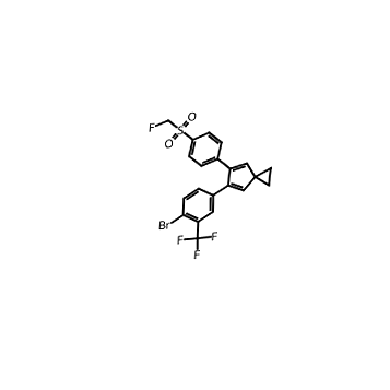 O=S(=O)(CF)c1ccc(C2=CC3(C=C2c2ccc(Br)c(C(F)(F)F)c2)CC3)cc1